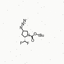 CC(C)(C)OC(=O)N1C[C@H](N=[N+]=[N-])C[C@H]1C(F)F